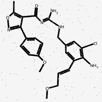 COCC=Cc1cc(CNC(N)=NC(=O)c2c(-c3ccc(OC)cc3)noc2C)cc(Cl)c1N